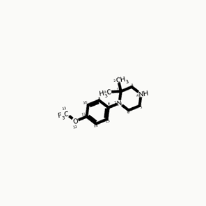 CC1(C)CNCCN1c1ccc(OC(F)(F)F)cc1